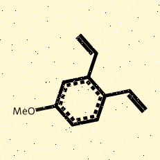 C=Cc1ccc(OC)cc1C=C